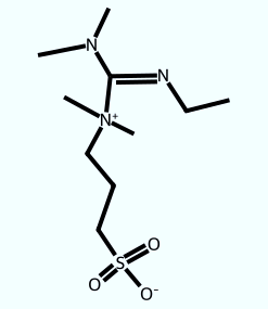 CCN=C(N(C)C)[N+](C)(C)CCCS(=O)(=O)[O-]